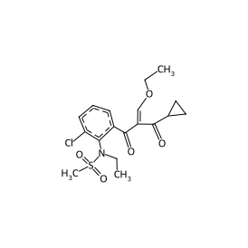 CCOC=C(C(=O)c1cccc(Cl)c1N(CC)S(C)(=O)=O)C(=O)C1CC1